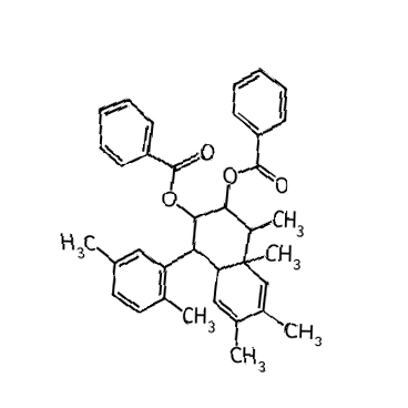 CC1=CC2C(c3cc(C)ccc3C)C(OC(=O)c3ccccc3)C(OC(=O)c3ccccc3)C(C)C2(C)C=C1C